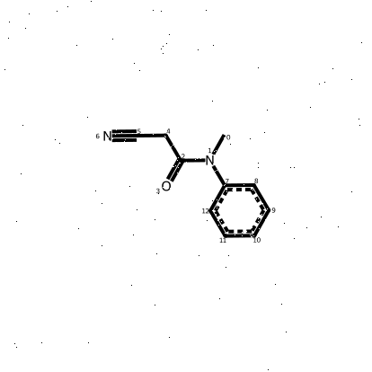 CN(C(=O)CC#N)c1ccccc1